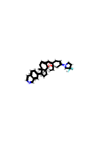 CC12CC=C3C=C4CCC(N5CCC(F)(F)C5)C[C@]45CC[C@]3(O5)[C@@H]1CCC2c1ccc2ccncc2c1